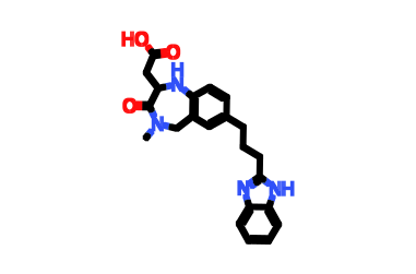 CN1Cc2cc(CCCc3nc4ccccc4[nH]3)ccc2NC(CC(=O)O)C1=O